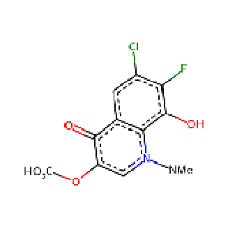 CNn1cc(OC(=O)O)c(=O)c2cc(Cl)c(F)c(O)c21